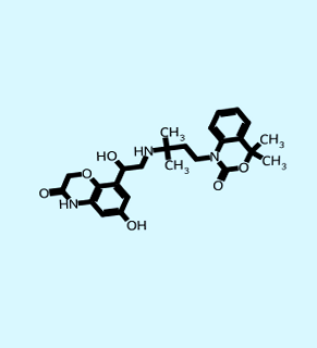 CC(C)(CCN1C(=O)OC(C)(C)c2ccccc21)NCC(O)c1cc(O)cc2c1OCC(=O)N2